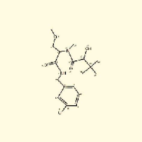 COCC(C(=O)NCc1cccc(Cl)c1)N(C)C(=O)C(O)C(C)(C)C